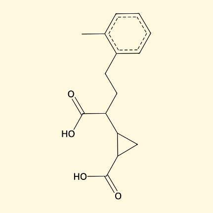 Cc1ccccc1CCC(C(=O)O)C1CC1C(=O)O